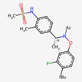 CC(=O)N(Oc1ccc(C(C)(C)C)c(F)c1)[C@H](C)c1ccc(NS(C)(=O)=O)c(C)c1